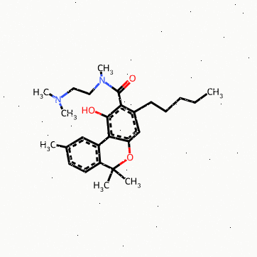 CCCCCc1cc2c(c(O)c1C(=O)N(C)CCN(C)C)-c1cc(C)ccc1C(C)(C)O2